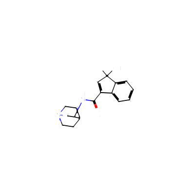 CC1(C)C=C(C(=O)NC2CN3CCC2CC3)c2ccccc21